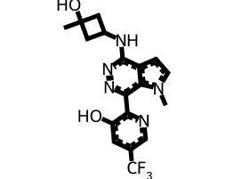 Cn1ccc2c(NC3CC(C)(O)C3)nnc(-c3ncc(C(F)(F)F)cc3O)c21